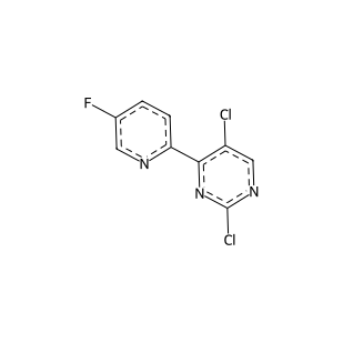 Fc1ccc(-c2nc(Cl)ncc2Cl)nc1